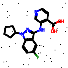 OC(O)c1ccncc1Nc1nn(C2CCCC2)c2ccc(F)cc12